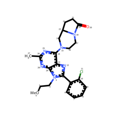 COCCn1c(-c2ccccc2Cl)nc2c(N3CCN4C(=O)CCC4C3)nc(C)nc21